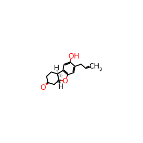 C=CCc1cc2c(cc1O)[C@@H]1CCC(=O)C[C@H]1O2